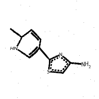 CC1C=CC(c2nc(N)cs2)=CN1